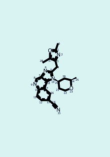 Cc1nc(Cc2nc3cnc4ccc(C#N)cc4c3n2[C@@H]2CCO[C@H](C)C2)c(C)o1